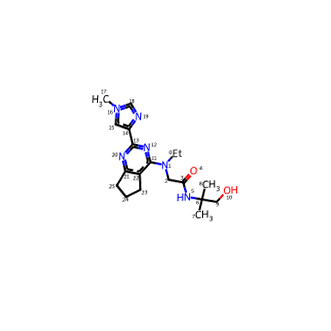 CCN(CC(=O)NC(C)(C)CO)c1nc(-c2cn(C)cn2)nc2c1CCC2